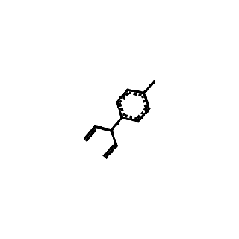 C=CC(C=C)c1ccc(C)cc1